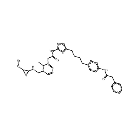 CCOC1OC1NCC1C=CC=C(CC(=O)Nc2nnc(CCCCc3ccc(NC(=O)Cc4ccccc4)nn3)s2)C1C